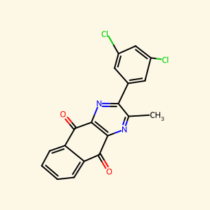 Cc1nc2c(nc1-c1cc(Cl)cc(Cl)c1)C(=O)c1ccccc1C2=O